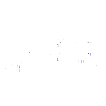 Bc1cc(C(B)(B)Oc2cccc3c2CN(C2CCC(=O)NC2=O)C3=O)c(B)cc1C(B)N1CCOCC1